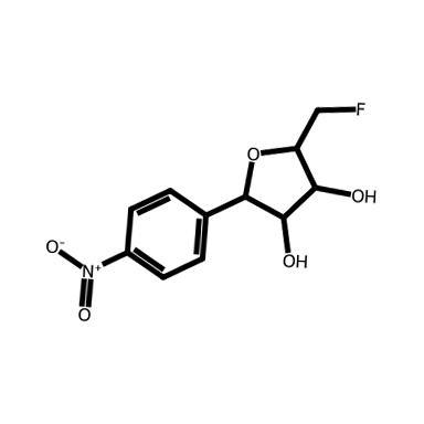 O=[N+]([O-])c1ccc(C2OC(CF)C(O)C2O)cc1